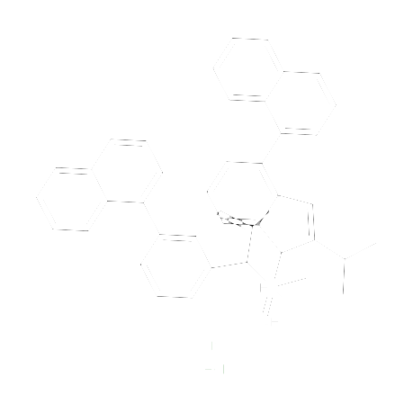 CC1=Cc2c(-c3cccc4ccccc34)cccc2[CH]1[Hf]([CH3])([CH3])(=[SiH2])[CH]1C(C(C)C)=Cc2c(-c3cccc4ccccc34)cccc21.Cl.Cl